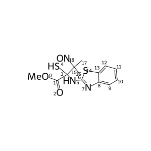 COC(=O)C(S)(Nc1nc2ccccc2s1)C(C)(C)N=O